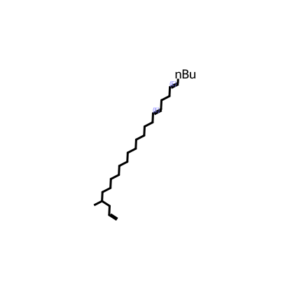 C=CCC(C)CCCCCCCCCCCC/C=C/CC/C=C/CCCC